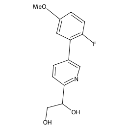 COc1ccc(F)c(-c2ccc(C(O)CO)nc2)c1